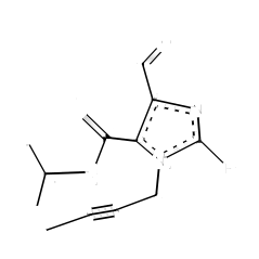 CC#CCn1c(Br)nc(C=O)c1C(=O)OC(C)C